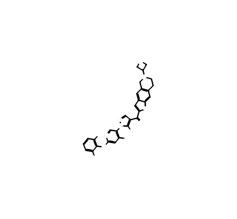 Cc1cc(Oc2c(F)cccc2F)ncc1-n1ncc(C(=O)c2cc3cc4c(cc3[nH]2)CCN(C2COC2)C4)c1N